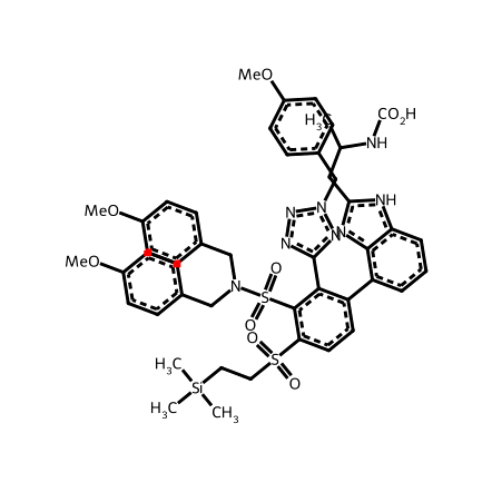 COc1ccc(CN(Cc2ccc(OC)cc2)S(=O)(=O)c2c(S(=O)(=O)CC[Si](C)(C)C)ccc(-c3cccc4[nH]c(CC(C)NC(=O)O)nc34)c2-c2nnn(Cc3ccc(OC)cc3)n2)cc1